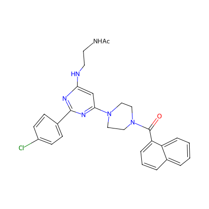 CC(=O)NCCNc1cc(N2CCN(C(=O)c3cccc4ccccc34)CC2)nc(-c2ccc(Cl)cc2)n1